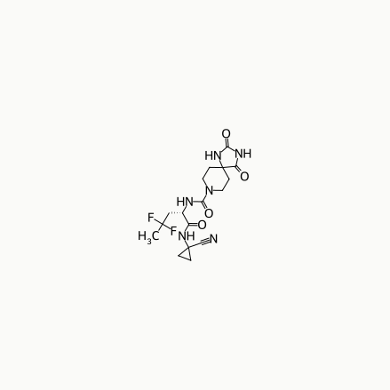 CC(F)(F)C[C@H](NC(=O)N1CCC2(CC1)NC(=O)NC2=O)C(=O)NC1(C#N)CC1